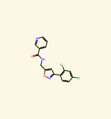 O=C(NCc1cc(-c2ccc(Cl)cc2Cl)no1)c1cccnc1